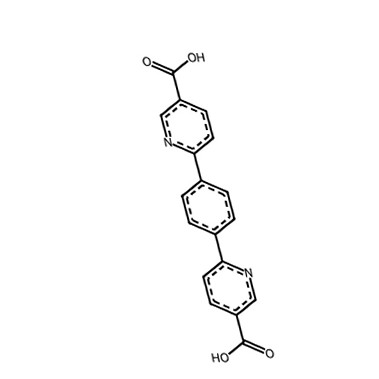 O=C(O)c1ccc(-c2ccc(-c3ccc(C(=O)O)cn3)cc2)nc1